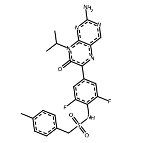 Cc1ccc(CS(=O)(=O)Nc2c(F)cc(-c3nc4cnc(N)nc4n(C(C)C)c3=O)cc2F)cc1